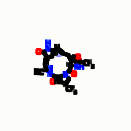 CC1(C)C/C=C/[C@@H]2C[C@@H](C[C@@H](C#N)NC(=O)[C@@H]3C[C@@H](C(F)(F)F)CN3C(=O)[C@H]1NC(=O)C(F)(F)F)C(=O)N2